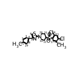 Cc1ccc(-c2csc(N3CCC(S(=O)(=O)c4cc(C)c(Cl)cc4Cl)CC3)n2)cc1